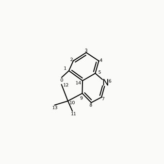 Cc1cccc2nccc(C(C)(C)C)c12